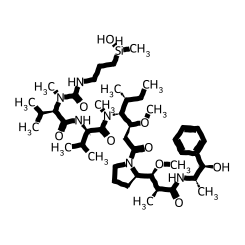 CC[C@@H](C)[C@H]([C@H](CC(=O)N1CCC[C@@H]1[C@@H](OC)[C@H](C)C(=O)N[C@@H](C)[C@H](O)c1ccccc1)OC)N(C)C(=O)[C@H](NC(=O)[C@@H](C(C)C)N(C)C(=O)NCCC[SiH](C)O)C(C)C